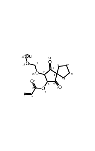 C=CC(=O)OC1C(=O)C2(CCCC2)C(=O)C1OCOC(C)(C)C